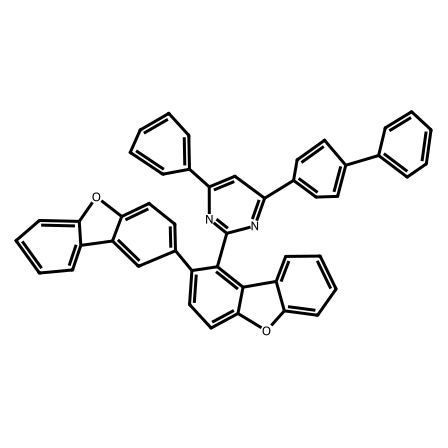 c1ccc(-c2ccc(-c3cc(-c4ccccc4)nc(-c4c(-c5ccc6oc7ccccc7c6c5)ccc5oc6ccccc6c45)n3)cc2)cc1